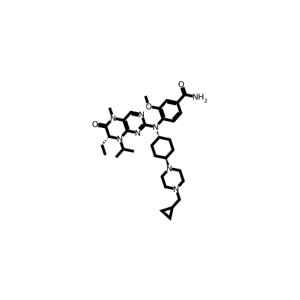 CC[C@@H]1C(=O)N(C)c2cnc(N(c3ccc(C(N)=O)cc3OC)[C@H]3CC[C@H](N4CCN(CC5CC5)CC4)CC3)nc2N1C(C)C